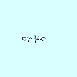 S=C(NCSNCc1ccccc1)NCc1ccccc1